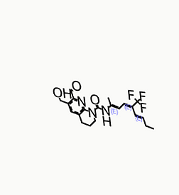 CC/C=C/C(=C\C=C(/C)NC(=O)N1CCCc2cc(CO)c(C=O)nc21)C(F)(F)F